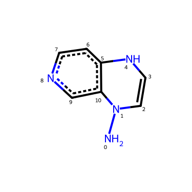 NN1C=CNc2ccncc21